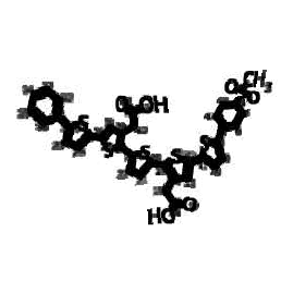 CS(=O)(=O)c1ccc(-c2ccc(-c3cc(CC(=O)O)c(-c4ccc(-c5sc(-c6ccc(-c7ccccc7)s6)cc5CC(=O)O)s4)s3)s2)cc1